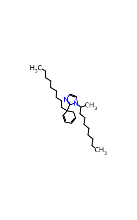 CCCCCCCCCC1(c2nccn2C(C)CCCCCCCC)C=CC=CC1